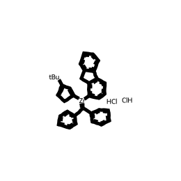 CC(C)(C)C1=CC[C]([Zr](=[C](c2ccccc2)c2ccccc2)[c]2cccc3c2Cc2ccccc2-3)=C1.Cl.Cl